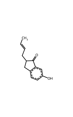 C/C=C/CC1Cc2ccc(O)cc2C1=O